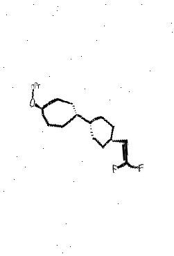 CCCO[C@H]1CC[C@H]([C@H]2CC[C@H](C=C(F)F)CC2)CC1